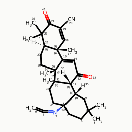 C=C=N[C@]12CCC(C)(C)C[C@H]1[C@H]1C(=O)C=C3[C@@]4(C)C=C(C#N)C(=O)C(C)(C)[C@@H]4CC[C@@]3(C)[C@]1(C)CC2